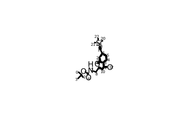 CC(C)(C)OC(=O)NCc1cc(=O)c2ccc(C#C[Si](C)(C)C)cc2o1